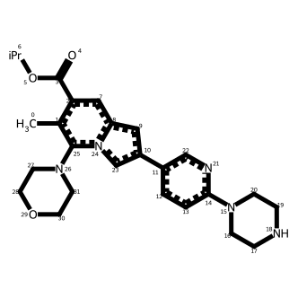 Cc1c(C(=O)OC(C)C)cc2cc(-c3ccc(N4CCNCC4)nc3)cn2c1N1CCOCC1